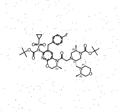 C[C@@H]1CN(CC(=O)N2c3cc(Cc4ccc(F)cc4)c(N(C(=O)OC(C)(C)C)S(=O)(=O)C4CC4)nc3OC[C@@H]2C)[C@@H](CN2[C@H](C)COC[C@H]2C)CN1C(=O)OC(C)(C)C